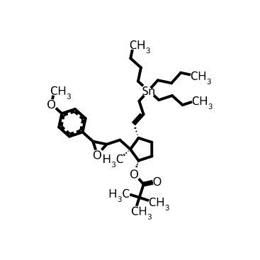 CCC[CH2][Sn]([CH2]/C=C/[C@@H]1CC[C@H](OC(=O)C(C)(C)C)[C@@]1(C)CC1OC1c1ccc(OC)cc1)([CH2]CCC)[CH2]CCC